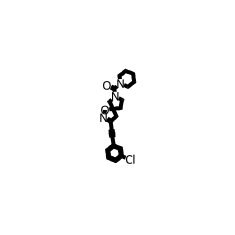 O=C(N1CCCCC1)N1CCC2(CC(C#Cc3cccc(Cl)c3)=NO2)C1